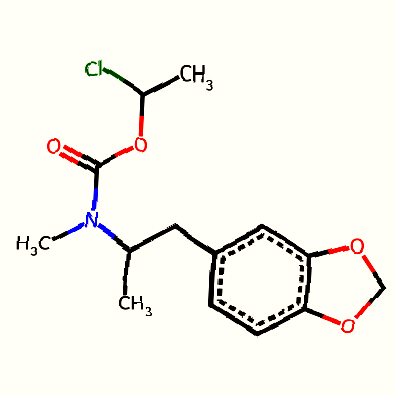 CC(Cl)OC(=O)N(C)C(C)Cc1ccc2c(c1)OCO2